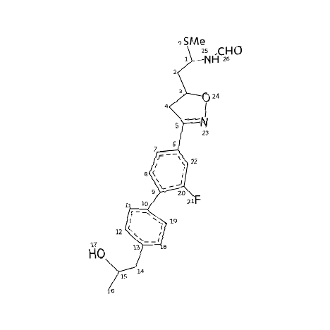 CSC(CC1CC(c2ccc(-c3ccc(CC(C)O)cc3)c(F)c2)=NO1)NC=O